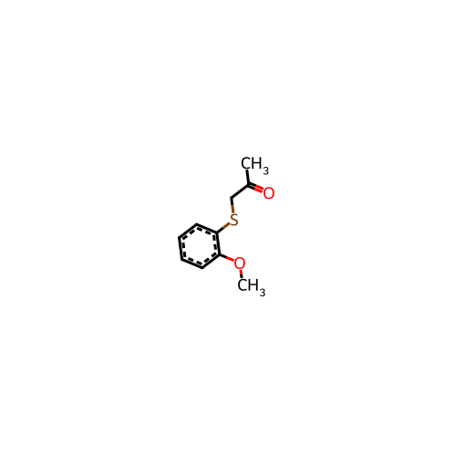 COc1ccccc1SCC(C)=O